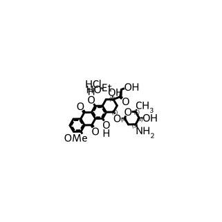 CCO.COc1cccc2c1C(=O)c1c(O)c3c(c(O)c1C2=O)C[C@@](O)(C(=O)CO)C[C@@H]3O[C@H]1C[C@H](N)[C@H](O)[C@H](C)O1.Cl